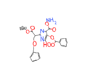 CC(C)(C)OC(=O)C(COCc1ccccc1)c1nc(O)c(OC(=O)c2ccccc2)c(C(=O)ON)n1